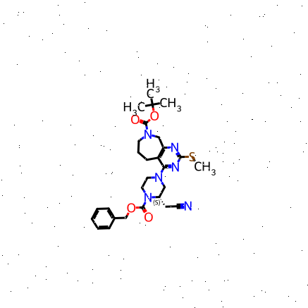 CSc1nc2c(c(N3CCN(C(=O)OCc4ccccc4)[C@@H](CC#N)C3)n1)CCCN(C(=O)OC(C)(C)C)C2